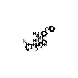 Cc1cc(Oc2ccccc2)ccc1N1C(=O)Nc2c(C(=O)NC3CCCCN(C#N)C3)sc3nccc1c23